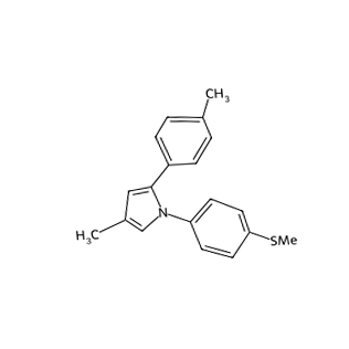 CSc1ccc(-n2cc(C)cc2-c2ccc(C)cc2)cc1